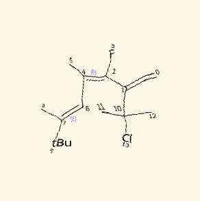 C=C(/C(F)=C(C)\C=C(/C)C(C)(C)C)C(C)(C)Cl